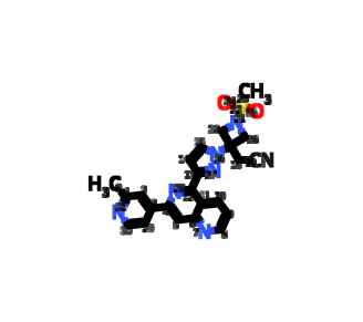 Cc1cc(-c2cc3ncccc3c(-c3ccn(C4(CC#N)CN(S(C)(=O)=O)C4)n3)n2)ccn1